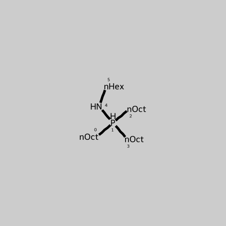 CCCCCCCC[PH](CCCCCCCC)(CCCCCCCC)NCCCCCC